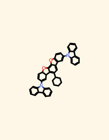 C1=CC2Oc3c(c(C4CCCCC4)cc4c3oc3ccc(-n5c6ccccc6c6ccccc65)cc34)C2C=C1n1c2ccccc2c2ccccc21